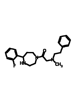 CN(CCc1ccccc1)CC(=O)N1CCNC(c2ccccc2F)CC1